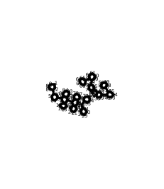 c1ccc(-c2cccc(-c3c4ccccc4c(-c4c5ccccc5c(N(c5ccccc5)c5ccc(-n6c7ccc(-c8ccccc8-c8ccccc8)cc7c7cc(-c8ccccc8-c8ccccc8)ccc76)cc5)c5ccccc45)c4ccccc34)c2)cc1